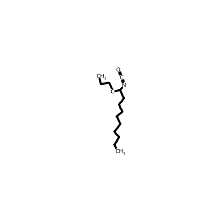 CCCCCCCCCC(N=C=O)OCCC